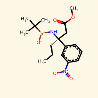 CCC[C@@](CC(=O)OC)(N[S+]([O-])C(C)(C)C)c1cccc([N+](=O)[O-])c1